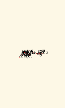 C=CC(=O)Nc1cc(Nc2nc(-c3ccnc(N4CCc5c(sc6c5CCCC6)C4=O)c3CO)cn(C)c2=O)ccc1N1CCN(C2CCN(c3ccc4c(c3)C(=O)N(C3CCC(=O)N(C)C3=O)C4=O)CC2)C[C@@H]1C